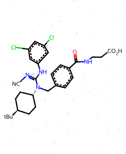 CC(C)(C)[C@H]1CC[C@H](N(Cc2ccc(C(=O)NCCC(=O)O)cc2)/C(=N\C#N)Nc2cc(Cl)cc(Cl)c2)CC1